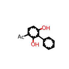 CC(=O)c1ccc(O)c(-c2ccccc2)c1O